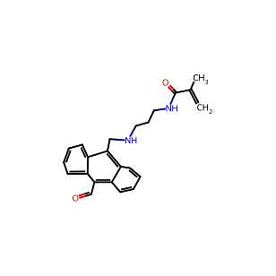 C=C(C)C(=O)NCCCNCc1c2ccccc2c(C=O)c2ccccc12